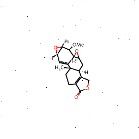 CO[C@H]1[C@]23O[C@H]2C[C@H]2C4=C(CC[C@]2(C)C3=C[C@@H]2O[C@@]21C(C)C)C(=O)OC4